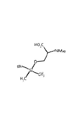 CNC(CO[Si](C)(C)C(C)(C)C)C(=O)O